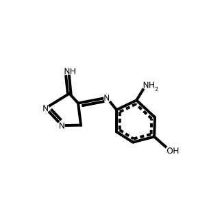 N=C1N=NCC1=Nc1ccc(O)cc1N